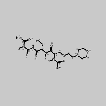 CCCC(=O)N(C)[C@H](COCCN1CCOCC1)C(=O)N(C)[C@@H](CC(C)C)C(=O)NC(=O)N(C)C(N)=O